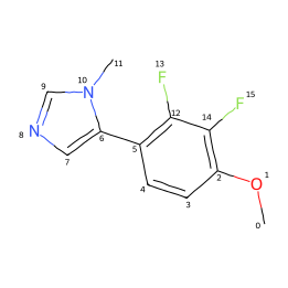 COc1ccc(-c2cncn2C)c(F)c1F